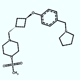 CS(=O)(=O)N1CCN(C[C@H]2C[C@H](Oc3ccc(CN4CCCC4)cc3)C2)CC1